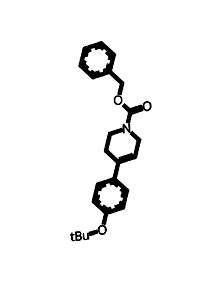 CC(C)(C)Oc1ccc(C2=CCN(C(=O)OCc3ccccc3)CC2)cc1